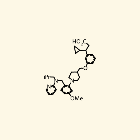 COc1ccc(CN(CC(C)C)c2ccccn2)c(N2CCC(COc3cccc(C(CC(=O)O)C4CC4)c3)CC2)c1